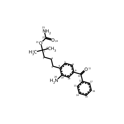 CC(C)(CCCc1ccc(C(=O)c2ccccc2)cc1N)OC(N)=O